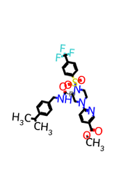 COC(=O)c1ccc(N2CCN(S(=O)(=O)c3ccc(C(F)(F)F)cc3)[C@@H](C(=O)NCc3ccc(C(C)C)cc3)C2)nc1